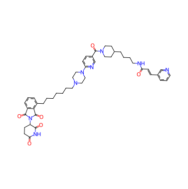 O=C(/C=C/c1cccnc1)NCCCCC1CCN(C(=O)c2ccc(N3CCN(CCCCCCCc4cccc5c4C(=O)N(C4CCC(=O)NC4=O)C5=O)CC3)nc2)CC1